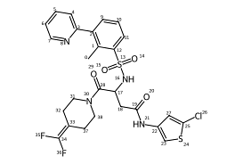 Cc1c(-c2ccccn2)cccc1S(=O)(=O)NC(CC(=O)Nc1csc(Cl)c1)C(=O)N1CCC(=C(F)F)CC1